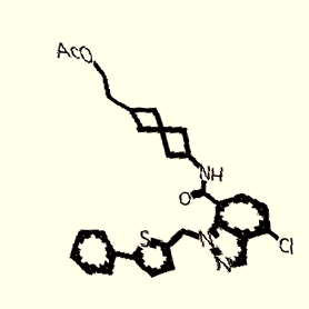 CC(=O)OCCC1CC2(C1)CC(NC(=O)c1ccc(Cl)c3cnn(Cc4ccc(-c5ccccc5)s4)c13)C2